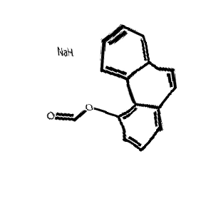 O=COc1cccc2ccc3ccccc3c12.[NaH]